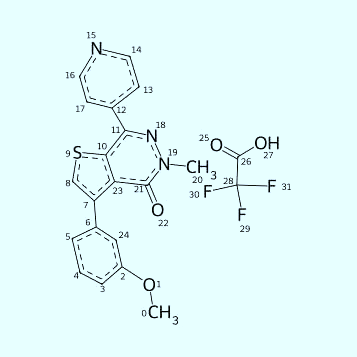 COc1cccc(-c2csc3c(-c4ccncc4)nn(C)c(=O)c23)c1.O=C(O)C(F)(F)F